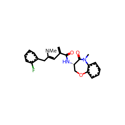 C=C(/C=C(/Cc1ccccc1F)NC)C(=O)N[C@H]1COc2ccccc2N(C)C1=O